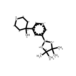 CC1(C)OB(c2cncc(C3(O)CCOCC3)c2)OC1(C)C